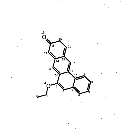 CCOc1cc2ccccc2c2cc3c(cc12)=CC(=O)CC=3